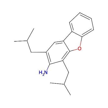 CC(C)Cc1cc2c(oc3ccccc32)c(CC(C)C)c1N